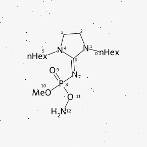 CCCCCCN1CCN(CCCCCC)C1=NP(=O)(OC)ON